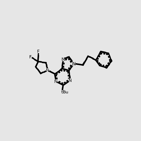 CC(C)(C)c1nc(N2CCC(F)(F)C2)c2ncn(CCc3ccccc3)c2n1